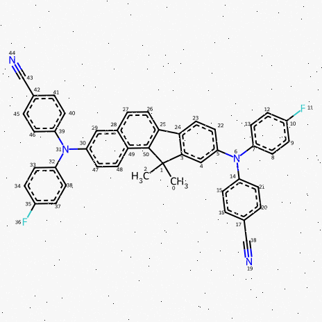 CC1(C)c2cc(N(c3ccc(F)cc3)c3ccc(C#N)cc3)ccc2-c2ccc3cc(N(c4ccc(F)cc4)c4ccc(C#N)cc4)ccc3c21